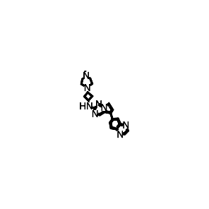 CN1CCN([C@H]2C[C@H](Nc3ncc4c(-c5ccc6nccnc6c5)ccn4n3)C2)CC1